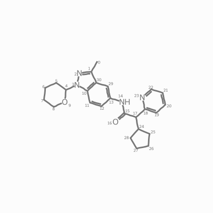 Cc1nn(C2CCCCO2)c2ccc(NC(=O)C(c3ccccn3)C3CCCC3)cc12